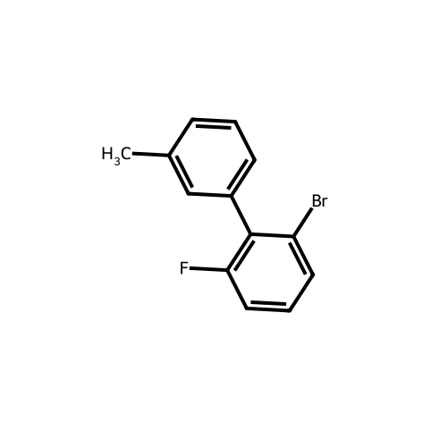 Cc1cccc(-c2c(F)cccc2Br)c1